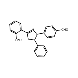 COc1ccccc1C1=NN(c2ccc(C=O)cc2)C(c2ccccc2)C1